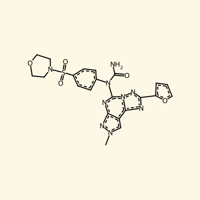 Cn1cc2c(nc(N(C(N)=O)c3ccc(S(=O)(=O)N4CCOCC4)cc3)n3nc(-c4ccco4)nc23)n1